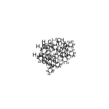 CC1(C)CCC(C)(C)c2cc(N3c4cc5c(cc4B4c6ccccc6N(c6ccccc6)c6nc(Oc7ccccc7)nc3c64)B3c4ccccc4N(c4ccccc4)c4nc(Oc6ccccc6)nc(c43)N5c3ccc4c(c3)C(C)(C)CCC4(C)C)ccc21